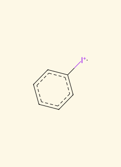 [I+]c1ccccc1